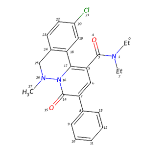 CCN(CC)C(=O)c1cc(-c2ccccc2)c(=O)n2c1-c1cc(Cl)ccc1CN2C